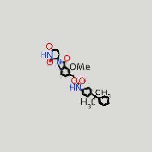 COc1c(COC(=O)Nc2ccc(C(C)(C)c3ccccc3)cc2)ccc2c1C(=O)N(C1CCC(=O)NC1=O)C2